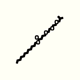 CCCCCCCCCCCCOC(=O)CCCOCCOCCOCC(C)C